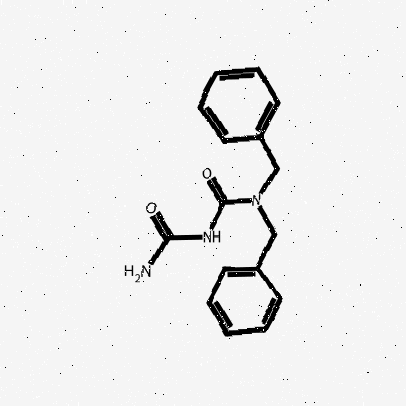 NC(=O)NC(=O)N(Cc1ccccc1)Cc1ccccc1